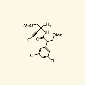 CC#CC(C)(COC)NC(=O)C(COC)c1cc(Cl)cc(Cl)c1